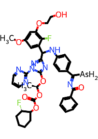 COc1cc(OCCO)c(F)c(C(Nc2ccc(C([AsH2])=NC(=O)c3ccccc3)cc2)c2nc(O[C@H](C)OC(=O)OC3CCCC[C@@H]3F)n(-c3ncccn3)n2)c1